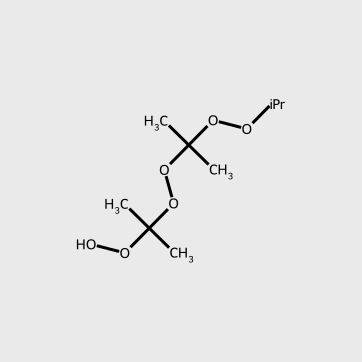 CC(C)OOC(C)(C)OOC(C)(C)OO